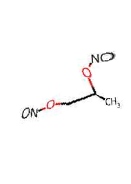 C[C@@H](CON=O)ON=O